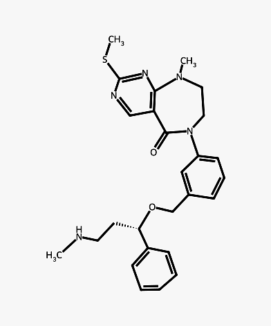 CNCC[C@H](OCc1cccc(N2CCN(C)c3nc(SC)ncc3C2=O)c1)c1ccccc1